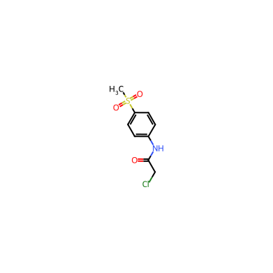 CS(=O)(=O)c1ccc(NC(=O)CCl)cc1